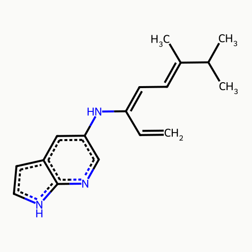 C=C/C(=C\C=C(/C)C(C)C)Nc1cnc2[nH]ccc2c1